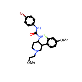 COCCN1CC[C@@H](NC(=O)Nc2ccc(Br)cc2)C(c2ccc(OC)cc2F)C1